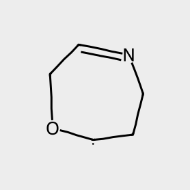 [CH]1CCN=CCO1